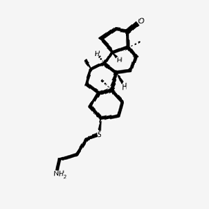 C[C@@H]1CC2C[C@H](SCCCN)CC[C@]2(C)[C@H]2CC[C@]3(C)C(=O)CC[C@H]3[C@H]12